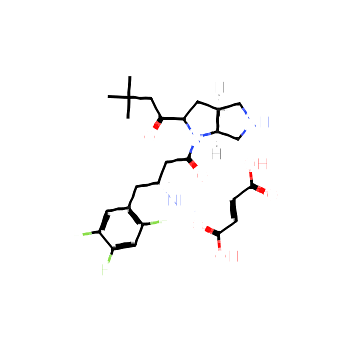 CC(C)(C)CC(=O)C1C[C@H]2CNC[C@H]2N1C(=O)C[C@H](N)Cc1cc(F)c(F)cc1F.O=C(O)C=CC(=O)O